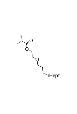 C=C(C)C(=O)OCCOCCCCCCCCCC